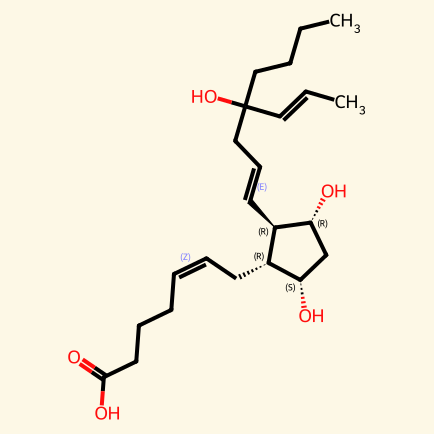 CC=CC(O)(C/C=C/[C@@H]1[C@@H](C/C=C\CCCC(=O)O)[C@@H](O)C[C@H]1O)CCCC